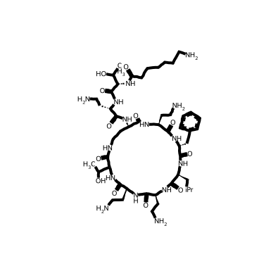 CC(C)C[C@@H]1NC(=O)[C@@H](Cc2ccccc2)NC(=O)[C@H](CCN)NC(=O)[C@@H](NC(=O)[C@H](CCN)NC(=O)[C@@H](NC(=O)CCCCCCN)C(C)O)CCNC(=O)C(C(C)O)NC(=O)[C@H](CCN)NC(=O)[C@H](CCN)NC1=O